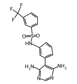 Nc1ncnc(N)c1-c1cccc(NS(=O)(=O)c2cccc(C(F)(F)F)c2)c1